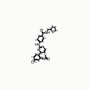 O=C1Cc2cnc(Nc3ccc(C(=O)NCC4CCCO4)cc3)nc2-c2ccc(Cl)cc2N1